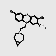 CC1CC2=C(C=C1Br)Sc1cc(Br)ccc1N2CCN1CCC2CC2CC1